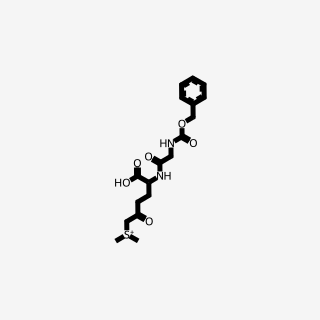 C[S+](C)CC(=O)CCC(NC(=O)CNC(=O)OCc1ccccc1)C(=O)O